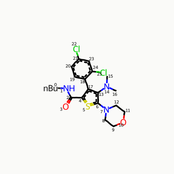 CCCCNC(=O)c1sc(N2CCOCC2)c(N(C)C)c1-c1ccc(Cl)cc1Cl